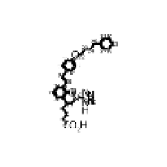 O=C(O)CCCC1CN(c2nnn[nH]2)Oc2c(C=Cc3ccc(OCCCCc4ccccc4)cc3)cccc21